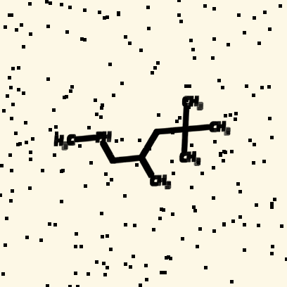 CPCC(C)CC(C)(C)C